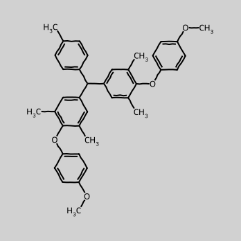 COc1ccc(Oc2c(C)cc(C(c3ccc(C)cc3)c3cc(C)c(Oc4ccc(OC)cc4)c(C)c3)cc2C)cc1